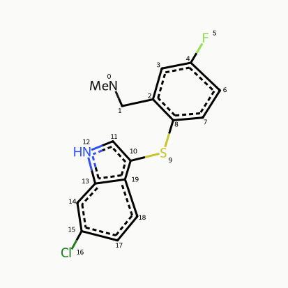 CNCc1cc(F)ccc1Sc1c[nH]c2cc(Cl)ccc12